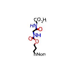 CCCCCCCCCCCCOC(=O)NCC(=O)NCC(=O)O